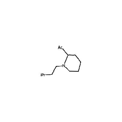 CC(=O)C1CCCCN1CCC(C)C